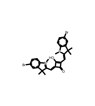 CN1C(=CC2=C(O)C(=CC3=[N+](C)c4ccc(Br)cc4C3(C)C)C2=O)C(C)(C)c2cc(Br)ccc21